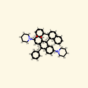 c1ccc(-c2ccc3ccccc3c2-c2c3ccc(N4CCCCC4)cc3c(-c3ccccc3)c3ccc(N4CCCCC4)cc23)cc1